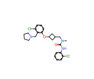 CN(CC1CC(Oc2cccc(Cl)c2CN2CCCC2)C1)C(=O)Nc1ccccc1Cl